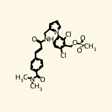 CN(C)C(=O)c1ccc(C=CC(=O)NCc2cccn2-c2ccc(Cl)c(COS(C)(=O)=O)c2Cl)cc1